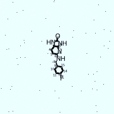 O=c1[nH]c2ccc(NCc3ccc(F)cc3)nc2[nH]1